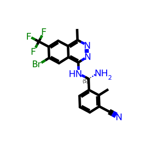 Cc1c(C#N)cccc1[C@@H](N)Nc1nnc(C)c2cc(C(F)(F)F)c(Br)cc12